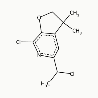 CC(Cl)c1cc2c(c(Cl)n1)OCC2(C)C